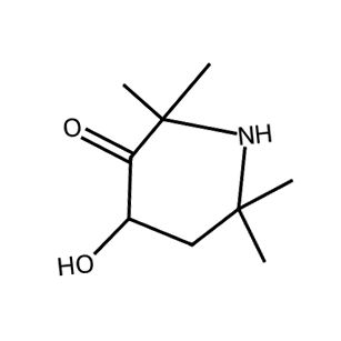 CC1(C)CC(O)C(=O)C(C)(C)N1